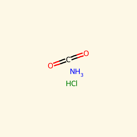 Cl.N.O=C=O